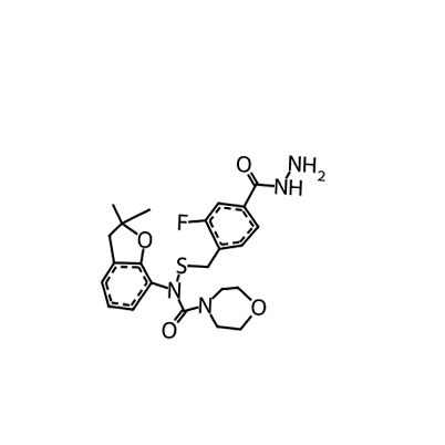 CC1(C)Cc2cccc(N(SCc3ccc(C(=O)NN)cc3F)C(=O)N3CCOCC3)c2O1